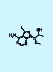 CO[C@H](C(C)O)n1cc(I)c2c(N)ncnc21